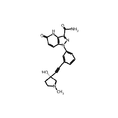 CN1CC[C@@](O)(C#Cc2cccc(-n3nc(C(N)=O)c4[nH]c(=O)ccc43)c2)C1